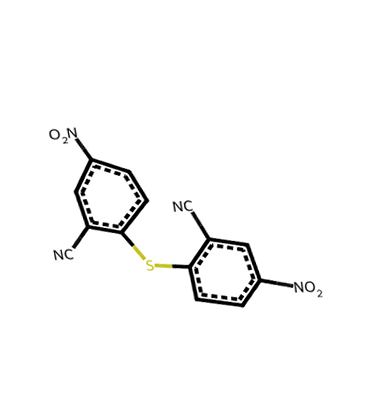 N#Cc1cc([N+](=O)[O-])ccc1Sc1ccc([N+](=O)[O-])cc1C#N